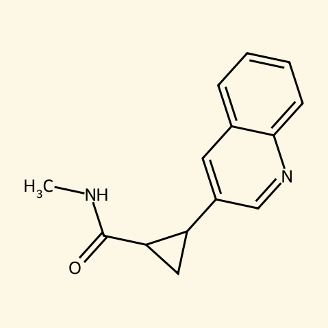 CNC(=O)C1CC1c1cnc2ccccc2c1